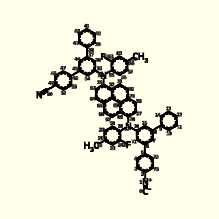 [C-]#[N+]c1ccc(-c2cc(-c3ccccc3)cc(N(c3ccc(C)cc3F)c3ccc4ccc5c(N(c6cc(-c7ccccc7)cc(-c7ccc(C#N)cc7)c6)c6ccc(C)cc6F)ccc6ccc3c4c65)c2)cc1